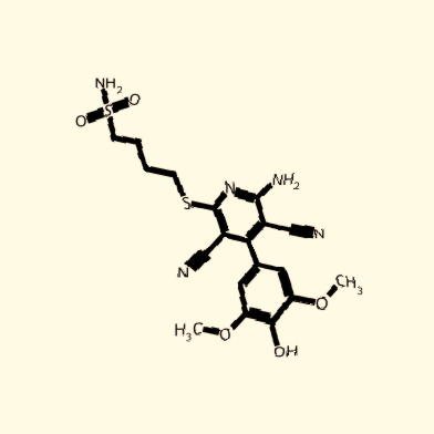 COc1cc(-c2c(C#N)c(N)nc(SCCCCS(N)(=O)=O)c2C#N)cc(OC)c1O